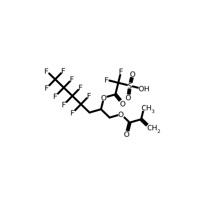 C=C(C)C(=O)OCC(CC(F)(F)C(F)(F)C(F)(F)C(F)(F)F)OC(=O)C(F)(F)S(=O)(=O)O